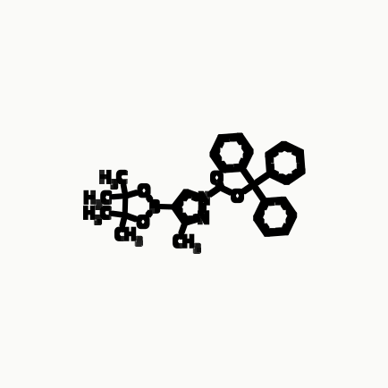 Cc1nn(C(=O)OC(c2ccccc2)(c2ccccc2)c2ccccc2)cc1B1OC(C)(C)C(C)(C)O1